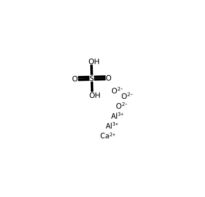 O=S(=O)(O)O.[Al+3].[Al+3].[Ca+2].[O-2].[O-2].[O-2]